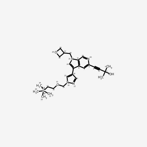 CC(C)(O)C#Cc1cc2c(-c3cnn(COCC[SH](C)(C)(C)C)c3)cn(CC3COC3)c2cn1